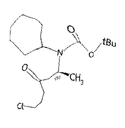 C[C@@H](C(=O)CCl)N(C(=O)OC(C)(C)C)C1CCCCC1